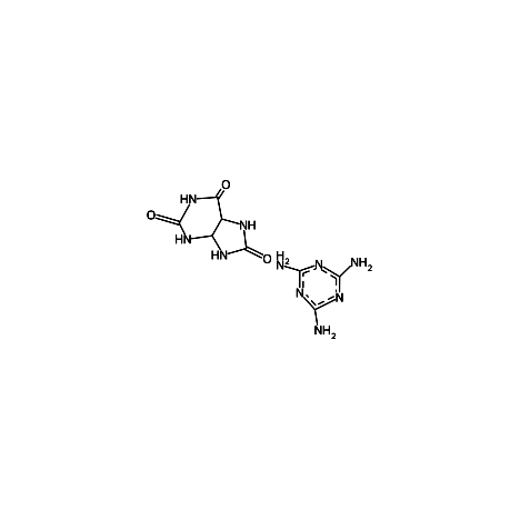 Nc1nc(N)nc(N)n1.O=C1NC(=O)C2NC(=O)NC2N1